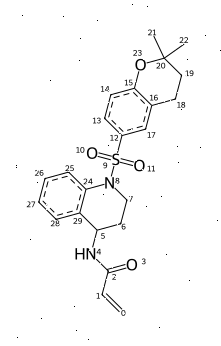 C=CC(=O)NC1CCN(S(=O)(=O)c2ccc3c(c2)CCC(C)(C)O3)c2ccccc21